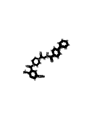 COc1ccc(Br)c(C(=O)N2CCN(C(=O)CNC(=O)c3ccc(-c4ccccc4)cc3)CC2)c1